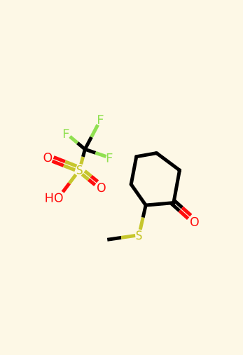 CSC1CCCCC1=O.O=S(=O)(O)C(F)(F)F